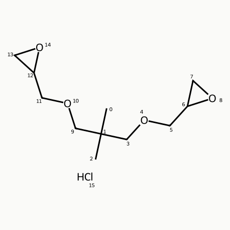 CC(C)(COCC1CO1)COCC1CO1.Cl